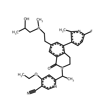 CCOc1cc(C(C)N2CCc3c(cc(CCN(C)CC(C)O)cc3-c3ccc(F)nc3C)C2=O)ncc1C#N